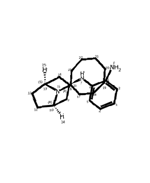 Nc1ccccc1N[C@H]1C[C@H]2CC[C@@H](C1)N2C1CCCCCCC1